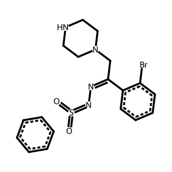 O=S(=O)=NN=C(CN1CCNCC1)c1ccccc1Br.c1ccccc1